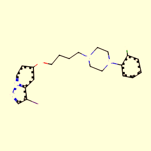 Clc1ccccc1N1CCN(CCCCOc2ccn3ncc(I)c3c2)CC1